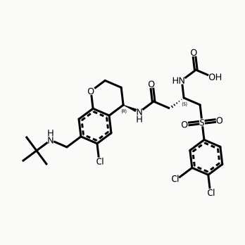 CC(C)(C)NCc1cc2c(cc1Cl)[C@H](NC(=O)C[C@@H](CS(=O)(=O)c1ccc(Cl)c(Cl)c1)NC(=O)O)CCO2